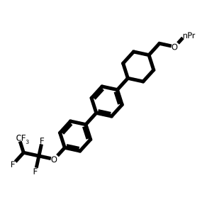 CCCOCC1CCC(c2ccc(-c3ccc(OC(F)(F)C(F)C(F)(F)F)cc3)cc2)CC1